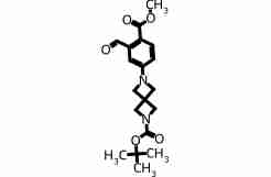 COC(=O)c1ccc(N2CC3(CN(C(=O)OC(C)(C)C)C3)C2)cc1C=O